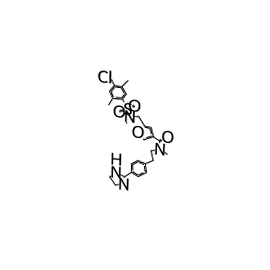 Cc1cc(S(=O)(=O)N(C)Cc2cc(C(=O)N(C)CCc3ccc(C4=NCCN4)cc3)co2)c(C)cc1Cl